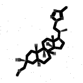 COC[C@@]1(O)CC[C@H]2[C@@H](CC[C@@H]3[C@@H]2CC[C@]2(C)[C@@H]([C@@H](C)Cn4nnc(C)n4)CC[C@@H]32)C1